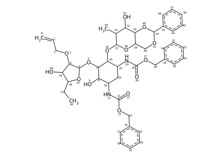 C=CCOC1C(OC2C(O)C(NC(=O)OCc3ccccc3)CC(NC(=O)OCc3ccccc3)C2OC2OC3COC(c4ccccc4)OC3C(O)C2C)OC(CC)C1O